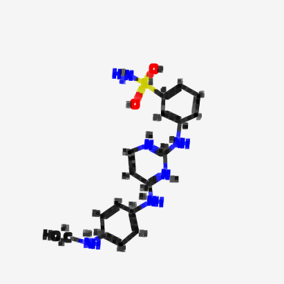 NS(=O)(=O)c1cccc(Nc2nccc(Nc3ccc(NC(=O)O)cc3)n2)c1